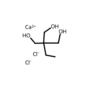 CCC(CO)(CO)CO.[Ca+2].[Cl-].[Cl-]